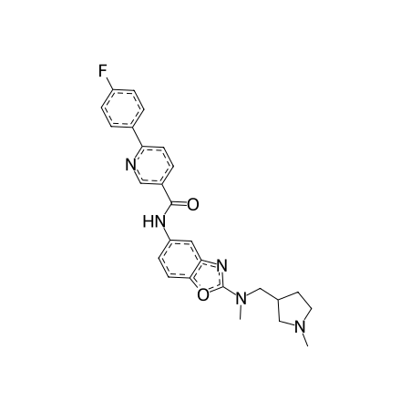 CN1CCC(CN(C)c2nc3cc(NC(=O)c4ccc(-c5ccc(F)cc5)nc4)ccc3o2)C1